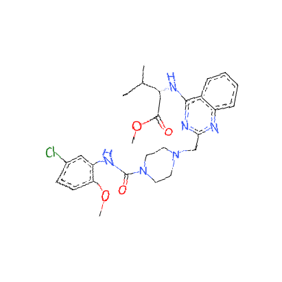 COC(=O)[C@@H](Nc1nc(CN2CCN(C(=O)Nc3cc(Cl)ccc3OC)CC2)nc2ccccc12)C(C)C